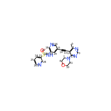 Cc1ncnc(N2CCOCC2)c1C#Cc1cncc(N[S+]([O-])c2cccnc2)c1